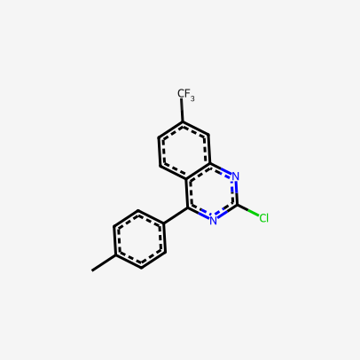 Cc1ccc(-c2nc(Cl)nc3cc(C(F)(F)F)ccc23)cc1